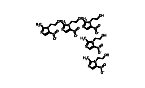 Cc1ncc([N+](=O)[O-])n1CCO.Cc1ncc([N+](=O)[O-])n1CCO.Cc1ncc([N+](=O)[O-])n1CCO.Cc1ncc([N+](=O)[O-])n1CCO.Cc1ncc([N+](=O)[O-])n1CCO